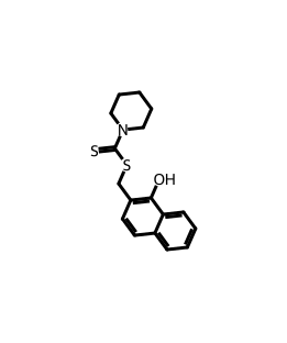 Oc1c(CSC(=S)N2CCCCC2)ccc2ccccc12